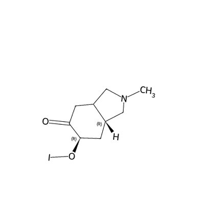 CN1CC2CC(=O)[C@H](OI)C[C@H]2C1